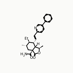 CC[C@H]1[C@H](/C=C/c2ccc(-c3ccccc3)cn2)[C@@H]2[C@@H](C)OC(=O)[C@]2(C(N)=O)C[C@@H]1C